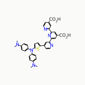 CN(C)c1ccc(N(c2ccc(N(C)C)cc2)c2ccc(-c3ccnc(-c4cc(C(=O)O)cc(-c5cc(C(=O)O)ccn5)n4)c3)s2)cc1